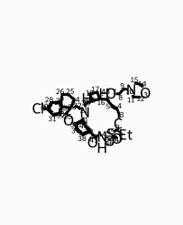 CC[C@@H]1CC/C=C/[C@H](OCCN2CCOCC2)[C@@H]2CC[C@H]2CN2C[C@@]3(CCCc4cc(Cl)ccc43)COc3ccc(cc32)C(=O)NS1(=O)=O